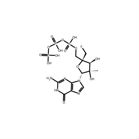 C[C@@]1(O)[C@H](O)[C@@](CF)(COP(=O)(O)OP(=O)(O)OP(=O)(O)O)O[C@H]1n1cnc2c(=O)[nH]c(N)nc21